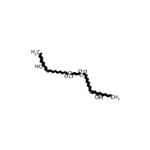 CCCCCC[C@@H](O)C/C=C\CCCCCCCC(=O)OC(=O)CCC(=O)OC(=O)CCCCCCC/C=C\C[C@H](O)CCCCCC